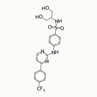 O=S(=O)(NC(CO)CO)c1ccc(Nc2nccc(-c3ccc(C(F)(F)F)cc3)n2)cc1